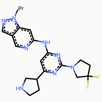 CC(C)n1ncc2cnc(Nc3cc(C4CCNC4)nc(N4CCC(F)(F)C4)n3)cc21